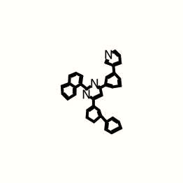 C1=C(c2ccccc2)CCC=C1c1cc(-c2cccc(-c3cccnc3)c2)nc(-c2cccc3ccccc23)n1